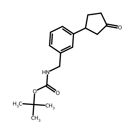 CC(C)(C)OC(=O)NCc1cccc(C2CCC(=O)C2)c1